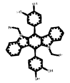 CC(C)Cn1c2ccccc2c2c(-c3ccc(O)c(O)c3)c3c(c(-c4ccc(O)c(O)c4)c21)c1ccccc1n3CC(C)C